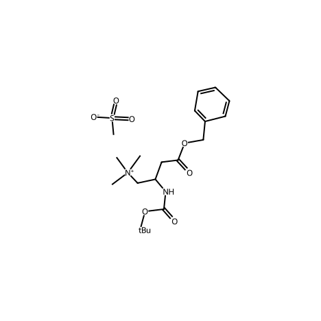 CC(C)(C)OC(=O)NC(CC(=O)OCc1ccccc1)C[N+](C)(C)C.CS(=O)(=O)[O-]